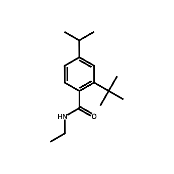 CCNC(=O)c1ccc(C(C)C)cc1C(C)(C)C